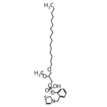 CCCCCCCCCCCCCCCCOCC(COP(=O)(O)Oc1ccccc1CN1C=CSC1)OC